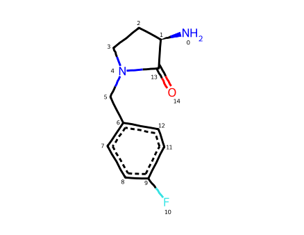 N[C@@H]1CCN(Cc2ccc(F)cc2)C1=O